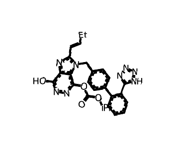 CC/C=C/c1nc2c(O)nnc(OC(=O)OC(C)C)c2n1Cc1ccc(-c2ccccc2-c2nnn[nH]2)cc1